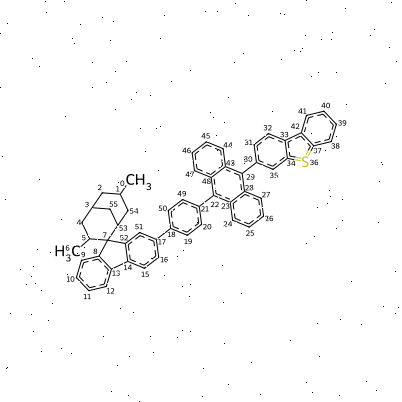 CC1CC2CC(C)C3(c4ccccc4-c4ccc(-c5ccc(-c6c7ccccc7c(-c7ccc8c(c7)sc7ccccc78)c7ccccc67)cc5)cc43)C(C1)C2